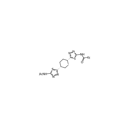 CCC(=O)Nc1nnc([C@H]2CC[C@@H](c3nnc(NC(C)=O)s3)CC2)s1